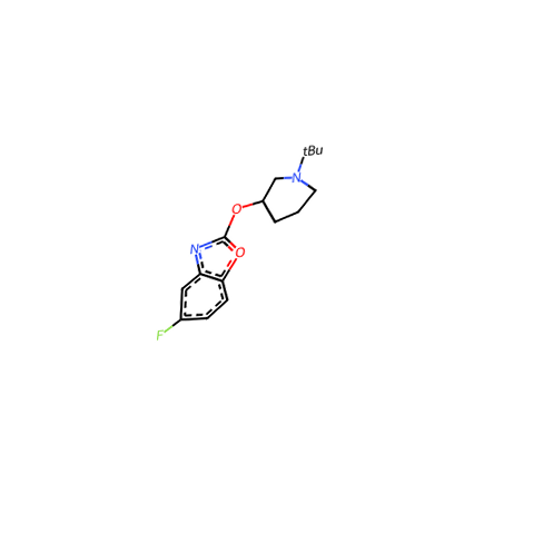 CC(C)(C)N1CCCC(Oc2nc3cc(F)ccc3o2)C1